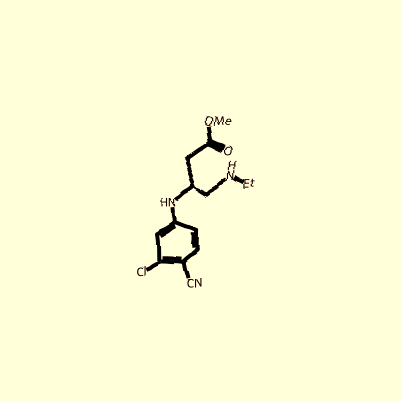 CCNC[C@H](CC(=O)OC)Nc1ccc(C#N)c(Cl)c1